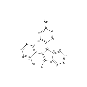 CC(=O)c1ccc(-n2c(-c3ccccc3C)c(C)c3ccccc32)cc1